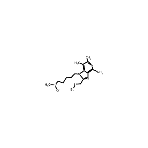 CCOCc1nc2c(N)nc(C)c(C)c2n1CCCCC[S+](C)[O-]